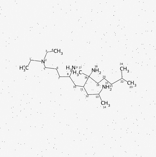 CCN(CC)CCCC(N)CC(CC(C)N)C(C)(N)CCCC(C)C